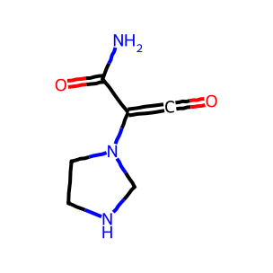 NC(=O)C(=C=O)N1CCNC1